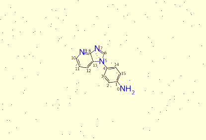 Nc1ccc(-n2cnc3ncccc32)cc1